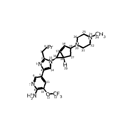 CC(C)Cc1nc(-c2cnc(N)c(OC(F)(F)F)c2)cn1[C@H]1C2=CC(N3CCN(C)CC3)C[C@@H]21